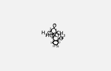 CC1=CC(=O)CC(C)(C)C1(O)C=Cc1ccccc1C=O